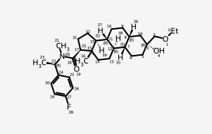 CCOC[C@@]1(O)CC[C@H]2[C@H](CC[C@@H]3[C@@H]2CC[C@]2(C)[C@@H](C(=O)N(C)[C@H](C)c4ccc(F)cc4)CC[C@@H]32)C1